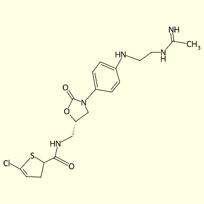 CC(=N)NCCNc1ccc(N2C[C@H](CNC(=O)C3CC=C(Cl)S3)OC2=O)cc1